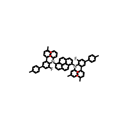 Cc1ccc(-c2cc(F)c(N(c3cccc(C)c3)c3ccc4ccc5c(N(c6cccc(C)c6)c6c(F)cc(-c7ccc(C)cc7)cc6-c6ccc(C)cc6)ccc6ccc3c4c65)c(-c3ccc(C)cc3)c2)cc1